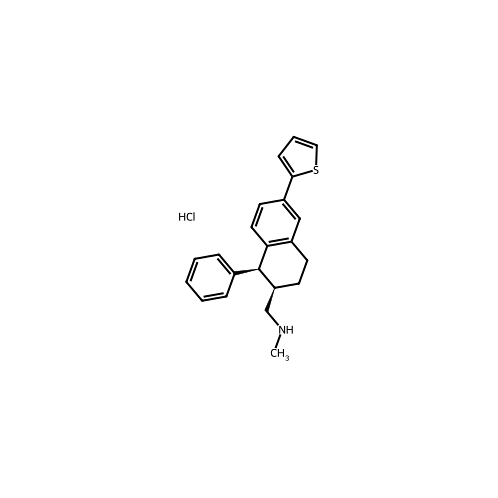 CNC[C@@H]1CCc2cc(-c3cccs3)ccc2[C@@H]1c1ccccc1.Cl